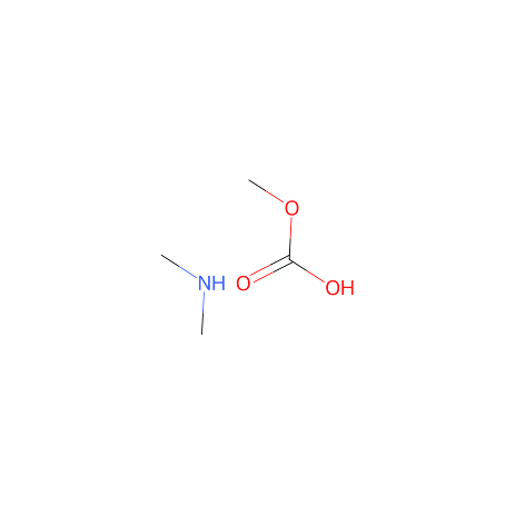 CNC.COC(=O)O